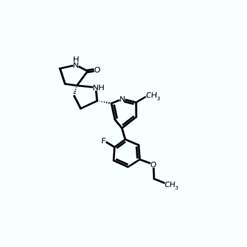 CCOc1ccc(F)c(-c2cc(C)nc([C@@H]3CC[C@@]4(CCNC4=O)N3)c2)c1